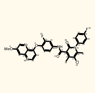 COc1cnc2c(Oc3ccc(NC(=O)c4c(C)c(Cl)c(C)n(-c5ccc(F)cc5)c4=O)cc3F)ccnc2c1